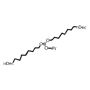 CCCCCCCCCCCCCCCCCCOB(OCCCCCCCCCCCCCCCCCC)OC(C)C